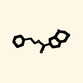 O=C(OCCc1ccccc1)c1ccc2cncnc2c1